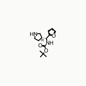 CC(C)(C)OC(=O)NC(c1ccco1)[C@@H]1CCNC1